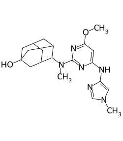 COc1cc(Nc2cn(C)cn2)nc(N(C)C2C3CC4CC2CC(O)(C4)C3)n1